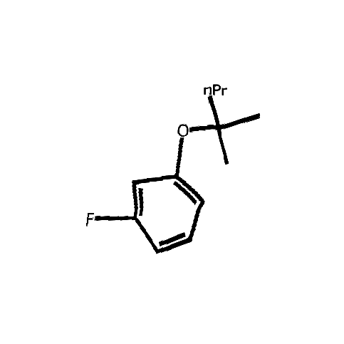 [CH2]CCC(C)(C)Oc1cccc(F)c1